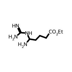 CCOC(=O)CCCC(N)NC(=N)N